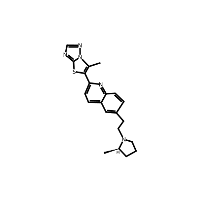 Cc1c(-c2ccc3cc(CCN4CCC[C@H]4C)ccc3n2)sc2ncnn12